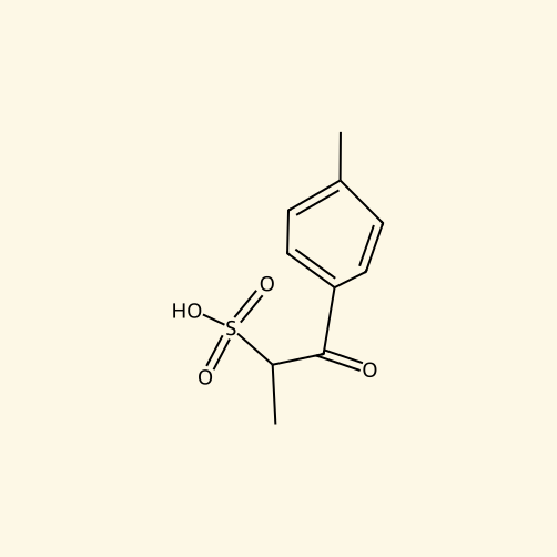 Cc1ccc(C(=O)C(C)S(=O)(=O)O)cc1